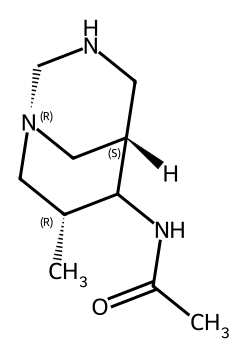 CC(=O)NC1[C@H]2CNC[N@](C2)C[C@H]1C